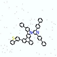 c1ccc(-c2ccc(-c3cc(-n4c5ccc(-c6ccccc6)cc5c5cc6c7cc(-c8ccc9sc%10ccccc%10c9c8)ccc7c7ccccc7c6cc54)cc(-c4ccc(-c5ccccc5)cc4)n3)cc2)cc1